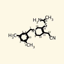 Cc1cc(C)cc(CN2CCC(CC#N)=C(SC(C)N)C2)c1